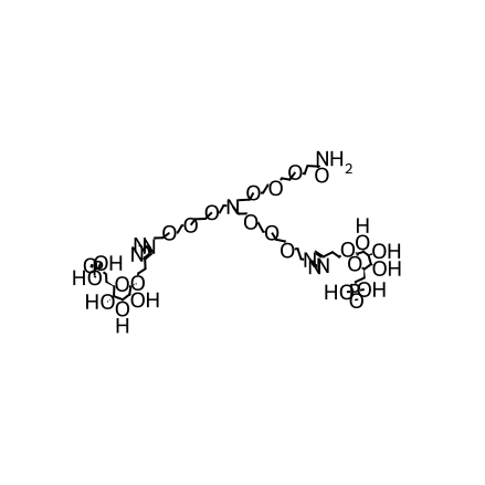 NC(=O)CCOCCOCCOCCN(CCOCCOCCOCCn1cc(CCO[C@H]2O[C@H](CCP(=O)(O)O)[C@@H](O)[C@H](O)[C@@H]2O)nn1)CCOCCOCCOCCn1cc(CCO[C@H]2O[C@H](CCP(=O)(O)O)[C@@H](O)[C@H](O)[C@@H]2O)nn1